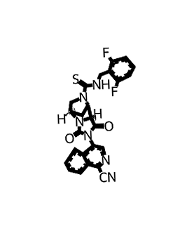 N#Cc1ncc(N2C(=O)[C@@H]3C4C[C@H](CN4C(=S)NCc4c(F)cccc4F)N3C2=O)c2ccccc12